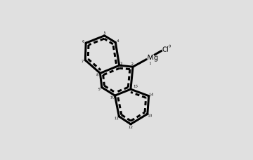 [Cl][Mg][c]1c2ccccc2cc2ccccc12